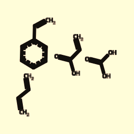 C=CC(=O)O.C=CC=C.C=Cc1ccccc1.O=C(O)O